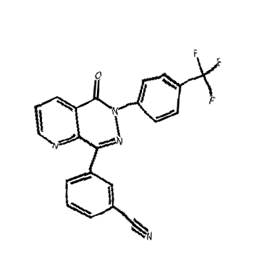 N#Cc1cccc(-c2nn(-c3ccc(C(F)(F)F)cc3)c(=O)c3cccnc23)c1